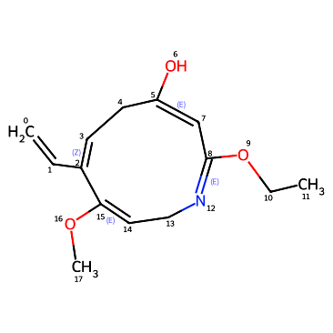 C=CC1=C/C/C(O)=C\C(OCC)=N/C/C=C\1OC